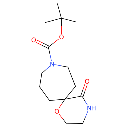 CC(C)(C)OC(=O)N1CCCC2(CC1)OCCNC2=O